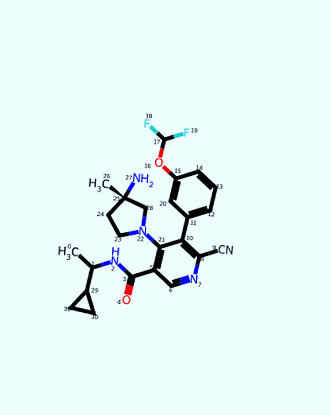 CC(NC(=O)c1cnc(C#N)c(-c2cccc(OC(F)F)c2)c1N1CC[C@](C)(N)C1)C1CC1